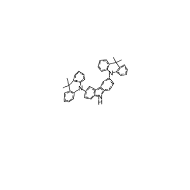 CC1(C)c2ccccc2N(c2ccc3[nH]c4ccc(N5c6ccccc6C(C)(C)c6ccccc65)cc4c3c2)c2ccccc21